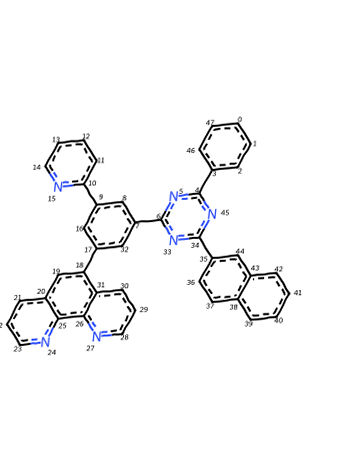 c1ccc(-c2nc(-c3cc(-c4ccccn4)cc(-c4cc5cccnc5c5ncccc45)c3)nc(-c3ccc4ccccc4c3)n2)cc1